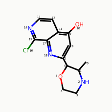 CC1NCCOC1c1cc(O)c2ccnc(Cl)c2n1